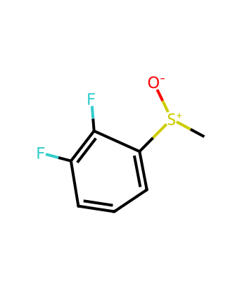 C[S+]([O-])c1cccc(F)c1F